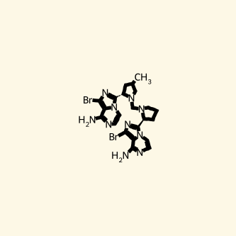 CC1C[C@@H](c2nc(Br)c3c(N)nccn23)N(CN2CCC[C@H]2c2nc(Br)c3c(N)nccn23)C1